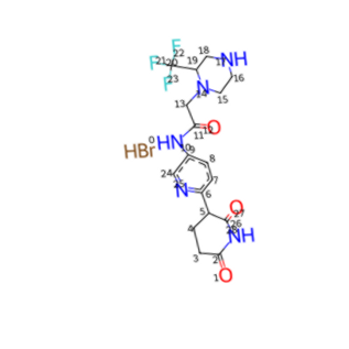 Br.O=C1CCC(c2ccc(NC(=O)CN3CCNCC3C(F)(F)F)cn2)C(=O)N1